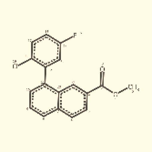 COC(=O)c1ccc2cccc(-c3cc(F)ccc3Cl)c2c1